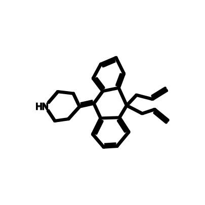 C=CCC1(CC=C)c2ccccc2C(=C2CCNCC2)c2ccccc21